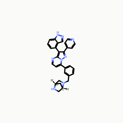 c1cc(CN2C[C@@H]3C[C@H]2CN3)cc(-c2ccnc3c(-c4cccc5[nH]ncc45)c(-c4ccncc4)nn23)c1